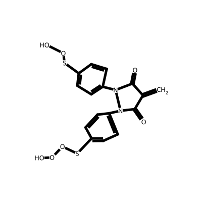 C=C1C(=O)N(c2ccc(SOO)cc2)N(c2ccc(SOOO)cc2)C1=O